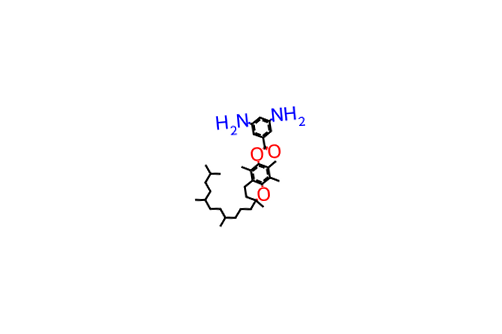 Cc1c(C)c2c(c(C)c1OC(=O)c1cc(N)cc(N)c1)CCC(C)(CCCC(C)CCC(C)CCC(C)C)O2